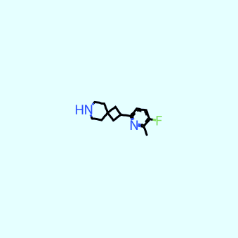 Cc1nc(C2CC3(CCNCC3)C2)ccc1F